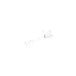 C=CCO[C@@H]1O[C@H](CO)[C@@H](O)[C@H](O)[C@H]1NC(=O)CCCCCCCCCCCCCCC